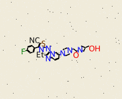 CCc1nc2ccc(N3CCN(CC(=O)N4CC(CO)C4)CC3)cn2c1N(C)c1nc(-c2ccc(F)cc2)c(C#N)s1